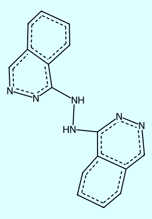 c1ccc2c(NNc3nncc4ccccc34)nncc2c1